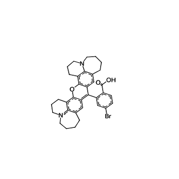 O=C(O)c1ccc(Br)cc1C1=c2cc3c4c(c2Oc2c1cc1c5c2CCCN5CCCC1)CCC[N+]=4CCCC3